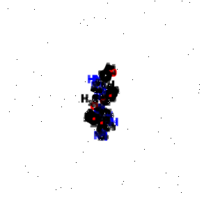 CC1=CC2OCCC2C=C1Nc1ncc2c(n1)n(C13CC4CC(CC(CCn5c(=O)n(C67CC8CC(CC(C)(C8)C6)C7)c6nc(Nc7cn8ncnc8cc7C)ncc65)(C4)C1)C3)c(=O)n2C